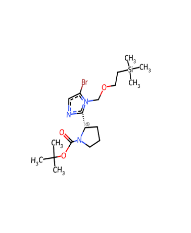 CC(C)(C)OC(=O)N1CCC[C@H]1c1ncc(Br)n1COCC[Si](C)(C)C